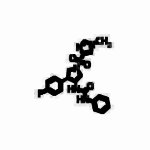 Cn1cnc(S(=O)(=O)N2C[C@H](NC(=O)Nc3ccccc3)[C@@H](c3ccc(F)cc3)C2)c1